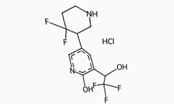 Cl.Oc1ncc(C2CNCCC2(F)F)cc1C(O)C(F)(F)F